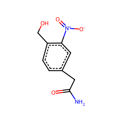 NC(=O)Cc1ccc(CO)c([N+](=O)[O-])c1